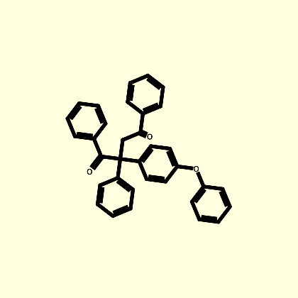 O=C(CC(C(=O)c1ccccc1)(c1ccccc1)c1ccc(Oc2ccccc2)cc1)c1ccccc1